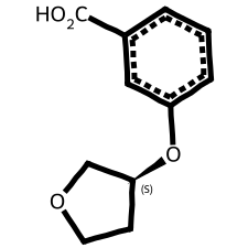 O=C(O)c1cccc(O[C@H]2CCOC2)c1